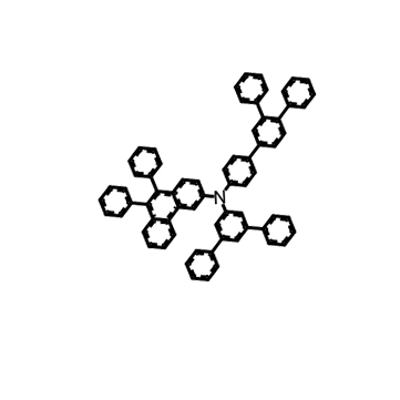 c1ccc(-c2cc(-c3ccccc3)cc(N(c3ccc(-c4ccc(-c5ccccc5)c(-c5ccccc5)c4)cc3)c3ccc4c(-c5ccccc5)c(-c5ccccc5)c5ccccc5c4c3)c2)cc1